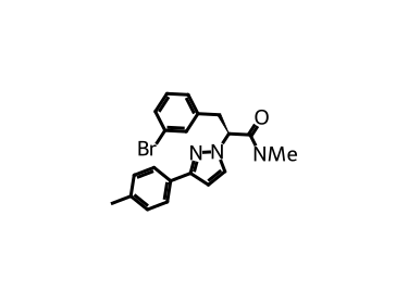 CNC(=O)[C@H](Cc1cccc(Br)c1)n1ccc(-c2ccc(C)cc2)n1